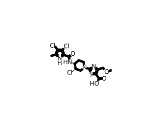 COCc1nc(N2CC[C@@H](NC(=O)c3[nH]c(C)c(Cl)c3Cl)[C@@H](Cl)C2)sc1C(=O)O